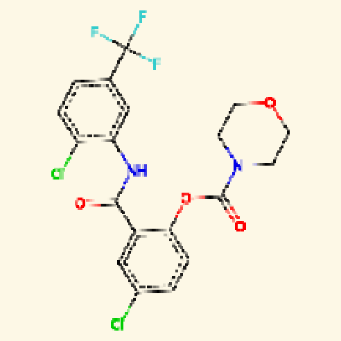 O=C(Nc1cc(C(F)(F)F)ccc1Cl)c1cc(Cl)ccc1OC(=O)N1CCOCC1